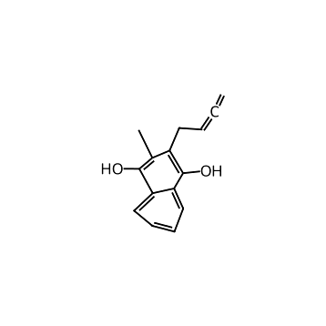 C=C=CCc1c(C)c(O)c2ccccc2c1O